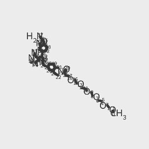 COCCOCCOCCOCCOCCOCCC(=O)N1CCc2cc(Cn3nc(-c4ccc5oc(N)nc5c4)c4c(N)ncnc43)ccc2C1